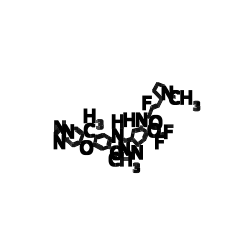 COc1cc(Oc2ccn3ncnc3c2)c(C)cc1Nc1ncnc2cc(OC(F)F)c(NC(=O)C(F)=CC3CCCN3C)cc12